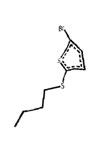 CCCCSc1ccc(Br)s1